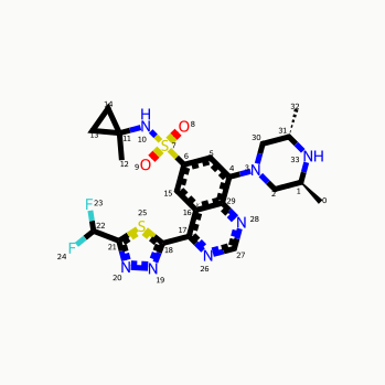 C[C@H]1CN(c2cc(S(=O)(=O)NC3(C)CC3)cc3c(-c4nnc(C(F)F)s4)ncnc23)C[C@H](C)N1